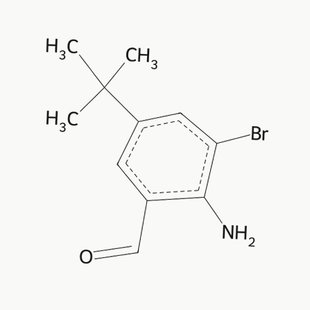 CC(C)(C)c1cc(Br)c(N)c(C=O)c1